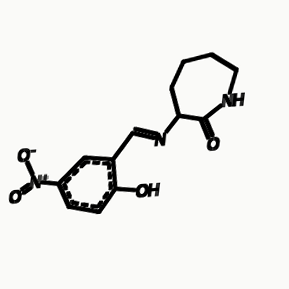 O=C1NCCCCC1N=Cc1cc([N+](=O)[O-])ccc1O